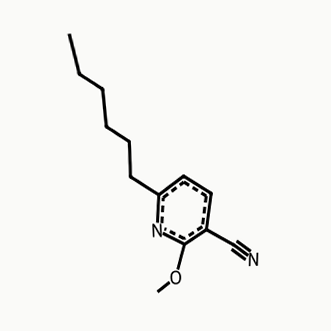 CCCCCCc1ccc(C#N)c(OC)n1